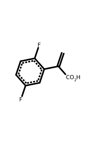 C=C(C(=O)O)c1cc(F)ccc1F